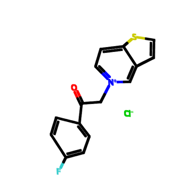 O=C(C[n+]1ccc2sccc2c1)c1ccc(F)cc1.[Cl-]